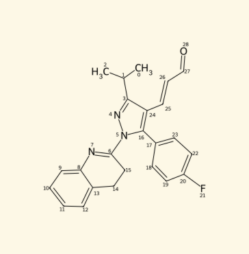 CC(C)c1nn(C2=Nc3ccccc3CC2)c(-c2ccc(F)cc2)c1C=CC=O